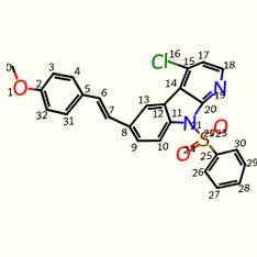 COc1ccc(C=Cc2ccc3c(c2)c2c(Cl)ccnc2n3S(=O)(=O)c2ccccc2)cc1